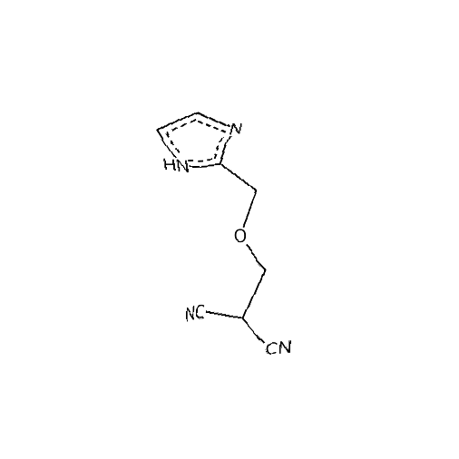 N#CC(C#N)COCc1ncc[nH]1